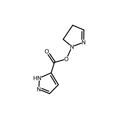 O=C(ON1CCC=N1)c1ccn[nH]1